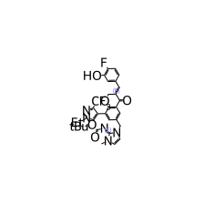 CCn1cc(-c2cc(Cn3ccn(C)/c3=N\C(=O)OC(C)(C)C)cc3c2OC/C(=C\c2ccc(F)c(O)c2)C3=O)c(C(F)(F)F)n1